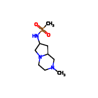 CN1CCN2CC(NS(C)(=O)=O)CC2C1